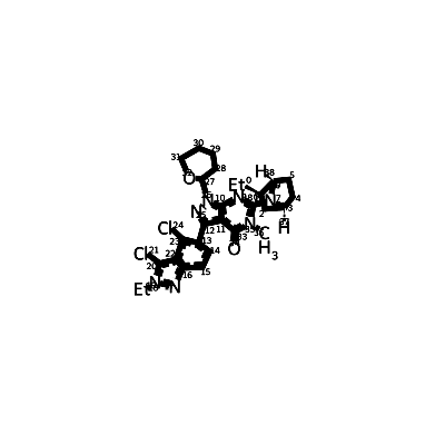 CC[C@@H]1C[C@@H]2CC[C@H]1N2c1nc2c(c(-c3ccc4nn(CC)c(Cl)c4c3Cl)nn2C2CCCCO2)c(=O)n1C